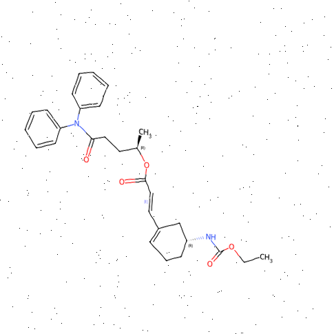 CCOC(=O)N[C@@H]1CCC=C(/C=C/C(=O)O[C@H](C)CCC(=O)N(c2ccccc2)c2ccccc2)C1